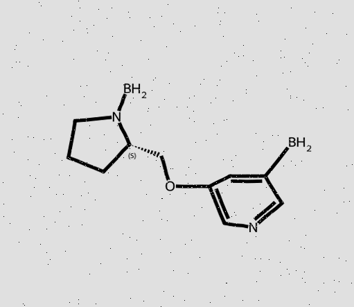 Bc1cncc(OC[C@@H]2CCCN2B)c1